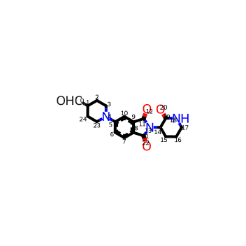 O=CC1CCN(c2ccc3c(c2)C(=O)N(C2CCCNC2=O)C3=O)CC1